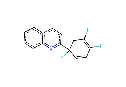 FC1=C(F)CC(F)(c2ccc3ccccc3n2)C=C1